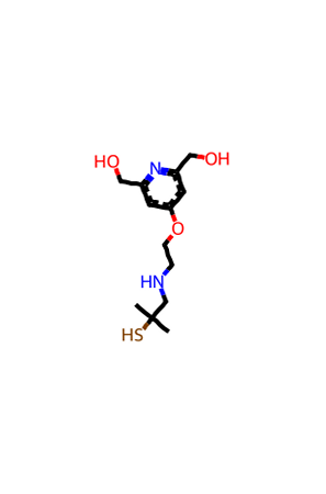 CC(C)(S)CNCCOc1cc(CO)nc(CO)c1